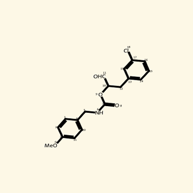 COc1ccc(CNC(=O)OC(C=O)Cc2cccc(Cl)c2)cc1